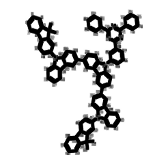 CC1(C)c2ccccc2-c2ccc(-n3c4ccccc4c4cc(-c5ccc6c(c5)c5cc(-c7ccc8c(c7)c7ccccc7n8-c7ccc8c(c7)C(C)(C)c7ccccc7-8)ccc5n6-c5cccc(-c6nc(-c7ccccc7)nc(-c7ccccc7)n6)c5)ccc43)cc21